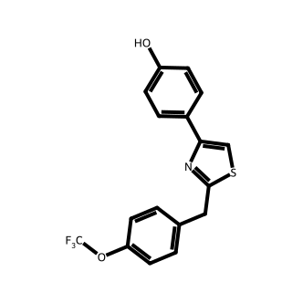 Oc1ccc(-c2csc(Cc3ccc(OC(F)(F)F)cc3)n2)cc1